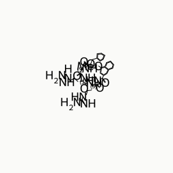 COc1cc(C(=O)NC(=O)[C@H](CCCNC(=N)N)NC(=O)[C@H](CCCNC(=N)N)NC(=O)[C@H](C)NC(=O)OCc2ccccc2)cc2ccccc12